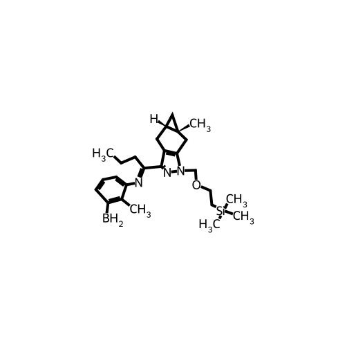 Bc1cccc(/N=C(\CCC)c2nn(COCC[Si](C)(C)C)c3c2C[C@@H]2C[C@]2(C)C3)c1C